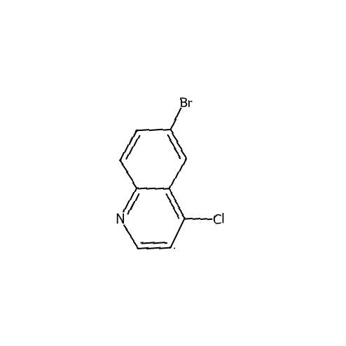 Clc1[c]cnc2ccc(Br)cc12